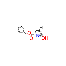 O=C(OCc1ccccc1)C1C[C@@H]2C[C@H](O)N1C2